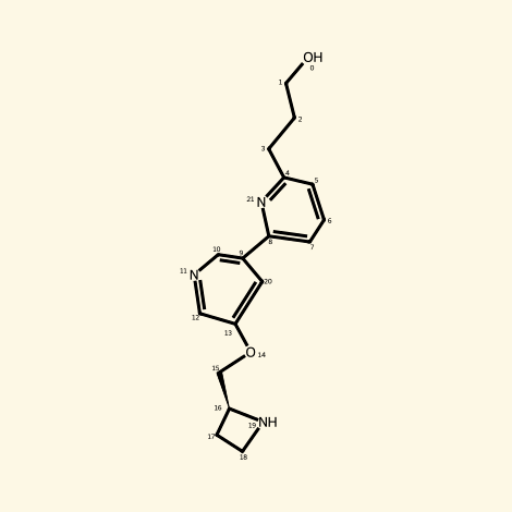 OCCCc1cccc(-c2cncc(OC[C@@H]3CCN3)c2)n1